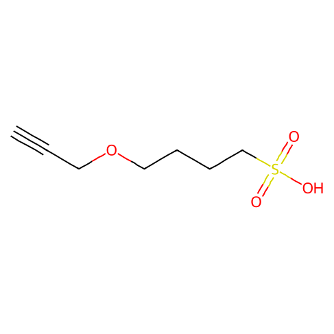 C#CCOCCCCS(=O)(=O)O